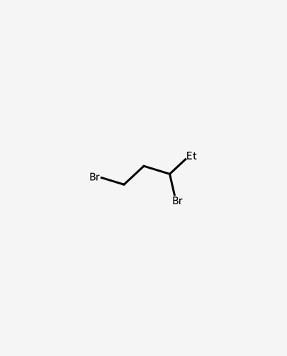 [CH2]CC(Br)CCBr